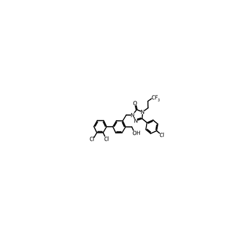 O=c1n(Cc2cc(-c3cccc(Cl)c3Cl)ccc2CO)nc(-c2ccc(Cl)cc2)n1CCC(F)(F)F